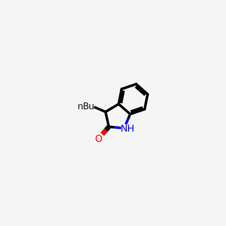 CCCCC1C(=O)Nc2ccccc21